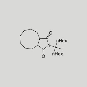 CCCCCCC(C)(CCCCCC)N1C(=O)C2CCCCCCCC2C1=O